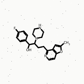 Cc1cc2c(CCC(C(O)c3ccc(F)cc3)N3CCNCC3)nccc2o1